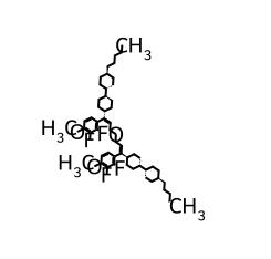 CCCCC[C@H]1CC[C@H]([C@H]2CC[C@H](C(=CCOCC=C(c3ccc(OC)c(F)c3F)[C@H]3CC[C@H]([C@H]4CC[C@H](CCCCC)CC4)CC3)c3ccc(OC)c(F)c3F)CC2)CC1